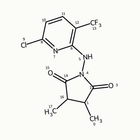 CC1C(=O)N(Nc2nc(Cl)ccc2C(F)(F)F)C(=O)C1C